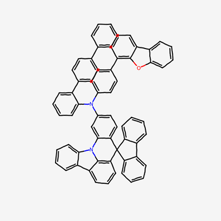 c1ccc(-c2ccc(-c3ccccc3N(c3ccc(-c4cccc5c4oc4ccccc45)cc3)c3ccc4c(c3)-n3c5ccccc5c5cccc(c53)C43c4ccccc4-c4ccccc43)cc2)cc1